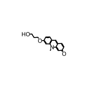 Cn1c2cc(=O)ccc-2cc2ccc(OCCCO)cc21